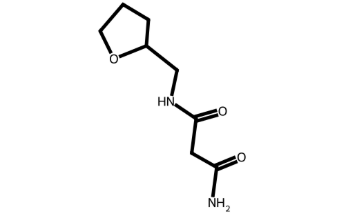 NC(=O)CC(=O)NCC1CCCO1